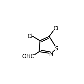 O=Cc1nsc(Cl)c1Cl